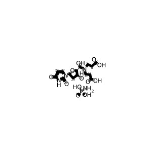 NP(=O)(O)O.O=C(O)CCN(CCC(=O)O)C(O)[C@H]1O[C@@H](n2ccc(=O)[nH]c2=O)C[C@@H]1O